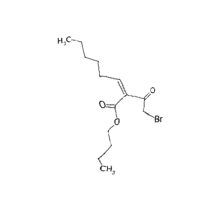 CCCCCC=C(C(=O)CBr)C(=O)OCCCC